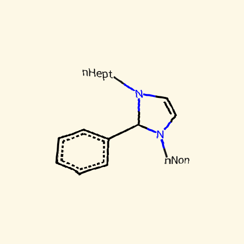 CCCCCCCCCN1C=CN(CCCCCCC)C1c1ccccc1